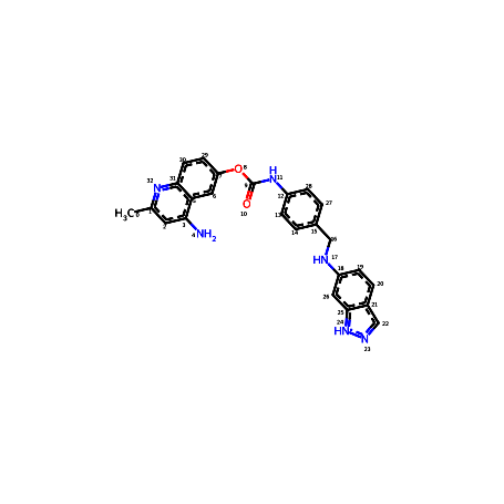 Cc1cc(N)c2cc(OC(=O)Nc3ccc(CNc4ccc5cn[nH]c5c4)cc3)ccc2n1